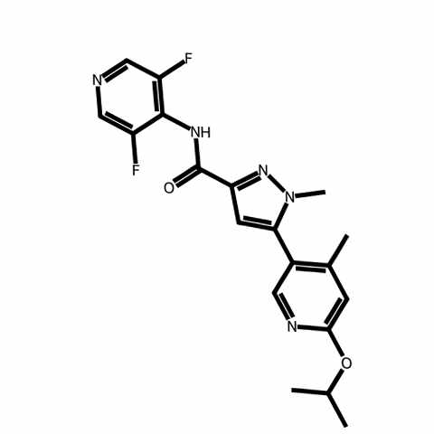 Cc1cc(OC(C)C)ncc1-c1cc(C(=O)Nc2c(F)cncc2F)nn1C